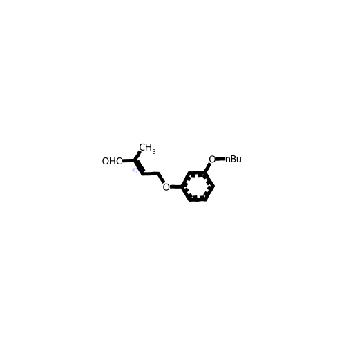 CCCCOc1cccc(OC/C=C(\C)C=O)c1